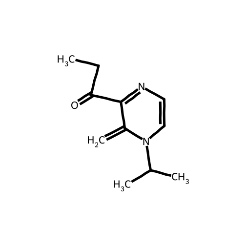 C=C1C(C(=O)CC)=NC=CN1C(C)C